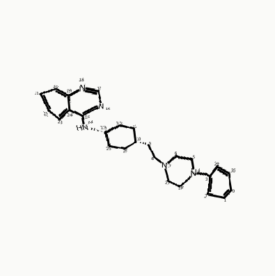 c1ccc(N2CCN(CC[C@H]3CC[C@@H](Nc4ncnc5ccccc45)CC3)CC2)cc1